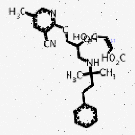 Cc1cnc(OCC(O)CNC(C)(C)CCc2ccccc2)c(C#N)c1.O=C(O)/C=C\C(=O)O